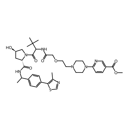 COC(=O)c1ccc(N2CCN(CCOCC(=O)NC(C(=O)N3C[C@H](O)C[C@H]3C(=O)NC(C)c3ccc(-c4scnc4C)cc3)C(C)(C)C)CC2)nc1